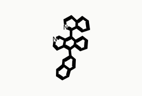 c1ccc2cc(-c3c4ccccc4c(-c4nccc5ccccc45)c4cnccc34)ccc2c1